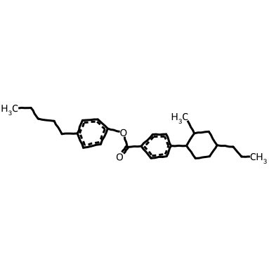 CCCCCc1ccc(OC(=O)c2ccc(C3CCC(CCC)CC3C)cc2)cc1